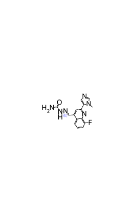 Cn1cncc1-c1cc(/C=N/NC(N)=O)c2cccc(F)c2n1